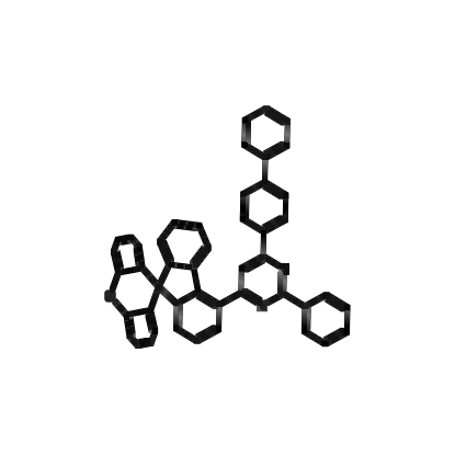 c1ccc(-c2ccc(-c3cc(-c4cccc5c4-c4ccccc4C54c5ccccc5Oc5ccccc54)nc(-c4ccccc4)n3)cc2)cc1